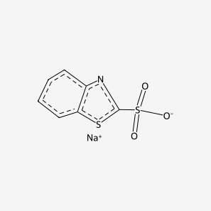 O=S(=O)([O-])c1nc2ccccc2s1.[Na+]